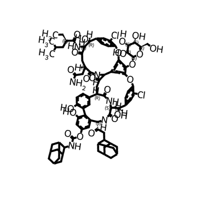 CC[C@H](CC(C)C)C(=O)N[C@H]1C(=O)C[C@@H](CC(N)=O)C(=O)NC2C(=O)C[C@H]3C(=O)N[C@H](C(=O)N[C@H](C(=O)CC4C5CC6CC(C5)CC4C6)c4cc(OC(=O)NC5C6CC7CC(C6)CC5C7)cc(O)c4-c4cc3ccc4O)[C@H](O)c3ccc(c(Cl)c3)Oc3cc2cc(c3O[C@@H]2O[C@H](CO)[C@@H](O)[C@H](O)[C@H]2O)Oc2ccc(cc2Cl)[C@H]1O